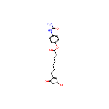 NC(=O)Nc1ccc(OC(=O)CCCCCCC2=CC(O)CC2=O)cc1